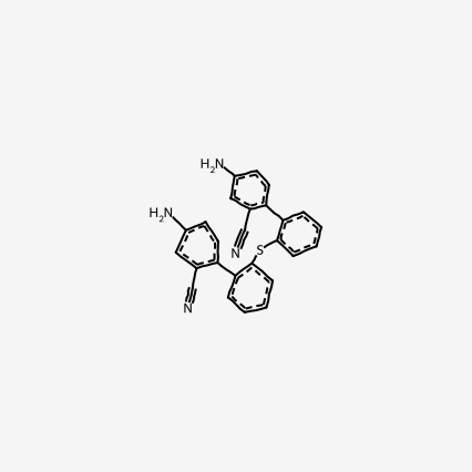 N#Cc1cc(N)ccc1-c1ccccc1Sc1ccccc1-c1ccc(N)cc1C#N